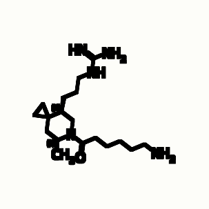 C[C@H]1CC2(CC2)[C@@H](CCCNC(=N)N)CN1C(=O)CCCCCN